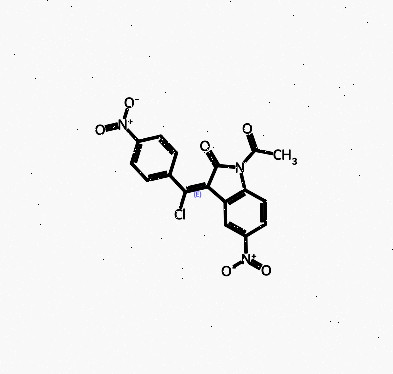 CC(=O)N1C(=O)/C(=C(/Cl)c2ccc([N+](=O)[O-])cc2)c2cc([N+](=O)[O-])ccc21